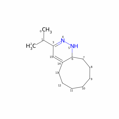 CC(C)C1=NNC2CCCCCCCC2=C1